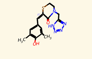 Cc1cc(/C=C2/SCCN(Cc3nnn[nH]3)C2=O)cc(C)c1O